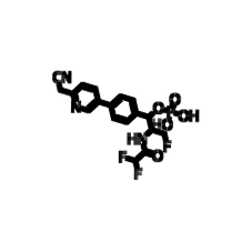 N#CCc1ccc(-c2ccc(C(OP(=O)(O)O)C(CF)NC(=O)C(F)F)cc2)cn1